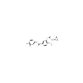 C=C(CC1CC1)Nc1cc(C(=O)Nc2ccc(Cl)c(Cl)c2)ccc1OCC